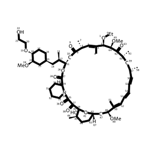 CCO[C@@H]1/C(C)=C/[C@@H](C)C(=O)C[C@@H]([C@H](C)C[C@@H]2CC[C@@H](OCCO)[C@H](OC)C2)OC(=O)[C@@H]2CCCCN2C(=O)C(=O)[C@]2(O)O[C@@H](CC[C@H]2C)C[C@H](OC)/C(C)=C/C=C/C=C/[C@@H](C)C[C@@H](C)C(=O)[C@@H]1OC